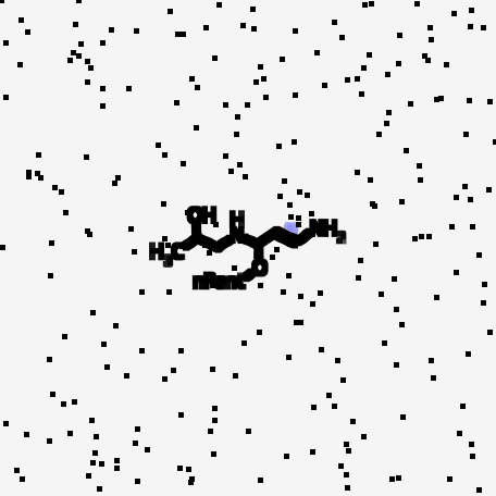 CCCCCOC(/C=C/N)NCC(C)O